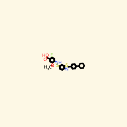 COc1cc(C(=O)O)c(F)cc1NSc1ccc2nc(-c3ccc(C4CCCCC4)cc3)sc2c1